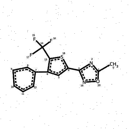 Cc1nc(-c2cc(-c3ccccc3)c(C(F)(F)F)s2)no1